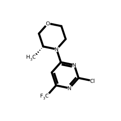 C[C@@H]1COCCN1c1cc(C(F)(F)F)nc(Cl)n1